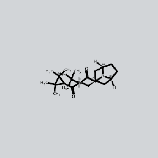 CC(C)(C)NC(=O)CN1[C@@H]2CC[C@H]1C[C@H](CNC(=O)C1C(C)(C)C1(C)C)C2